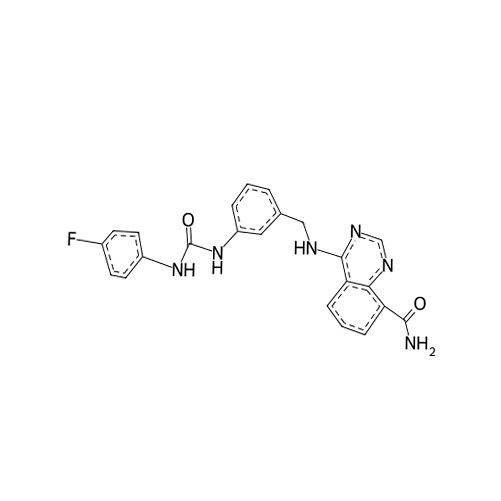 NC(=O)c1cccc2c(NCc3cccc(NC(=O)Nc4ccc(F)cc4)c3)ncnc12